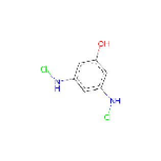 Oc1cc(NCl)cc(NCl)c1